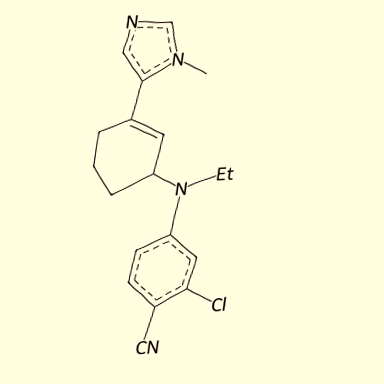 CCN(c1ccc(C#N)c(Cl)c1)C1C=C(c2cncn2C)CCC1